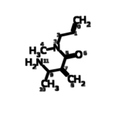 C=CCN(C)C(=O)C(=C)C(C)N